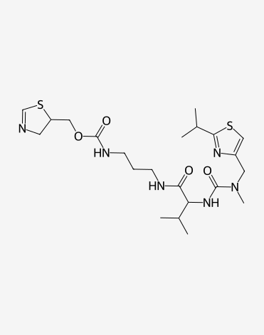 CC(C)c1nc(CN(C)C(=O)NC(C(=O)NCCCNC(=O)OCC2CN=CS2)C(C)C)cs1